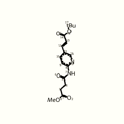 COC(=O)CCC(=O)Nc1ccc(/C=C/C(=O)OC(C)(C)C)cn1